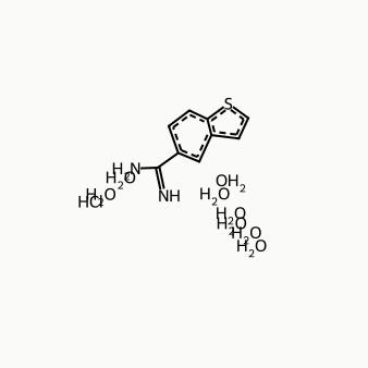 Cl.N=C(N)c1ccc2sccc2c1.O.O.O.O.O.O.O.O